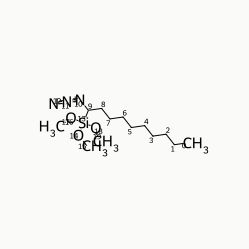 CCCCCCCCCC(N=[N+]=[N-])[Si](OC)(OC)OC